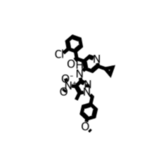 COc1ccc(Cn2nc(Nc3cc(C4CC4)ncc3C(=O)c3ccccc3Cl)c([N+](=O)[O-])c2C)cc1